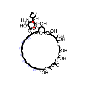 C[C@H]1C[C@H](O)[C@@H](C)/C=C/C=C/C=C/C=C/C=C/C=C/C=C/C(O[C@@H]2OC[C@@H](O)[C@H](N)[C@@H]2O)C[C@@H]2OC(O)(CC(O)CC(O)C(O)CCC(O)CC(O)CC(=O)O1)C[C@H](O)[C@H]2C(=O)NCC1CCOC1